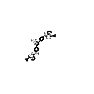 Cn1nc(-c2ccc(NC(=O)[C@@H]3CCCN3C(=O)C3CC3)cc2)cc1-c1ccc(NC(=O)[C@@H]2CCCN2C(=O)C2CC2)cc1